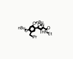 CCCCOc1cc(OCCCC)c(-c2onc(C(=O)NCC)c2I)cc1CC(C)C